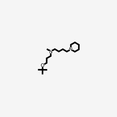 CN(CCCCN1CCCCC1)CCCOC(C)(C)C